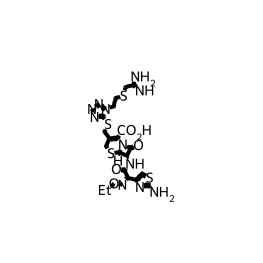 CCO/N=C(\C(=O)N[C@@H]1C(=O)N2C(C(=O)O)=C(CSc3nnnn3CCSCC(=N)N)CS[C@@H]12)c1csc(N)n1